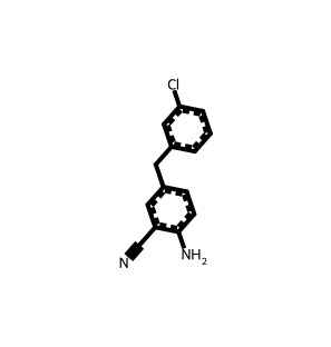 N#Cc1cc(Cc2cccc(Cl)c2)ccc1N